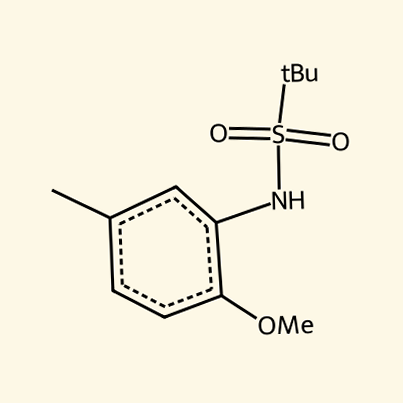 COc1ccc(C)cc1NS(=O)(=O)C(C)(C)C